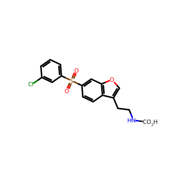 O=C(O)NCCc1coc2cc(S(=O)(=O)c3cccc(Cl)c3)ccc12